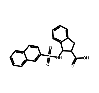 O=C(O)C1Cc2ccccc2C1NS(=O)(=O)c1ccc2ccccc2c1